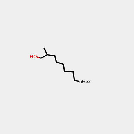 CCCCCCCCCCCC[C](C)CO